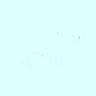 CCOc1nc2[nH]cc(F)c2cc1Oc1cc(N2CCC3(CC2)CC(N2C[C@H]4c5c(C)oc6c(OC)ccc(c56)CN4C[C@H]2c2ccccc2C(C)C)C3)ccc1C(=O)NS(=O)(=O)c1cnc(NCC2CCC(C)(O)CC2)c(N=O)c1